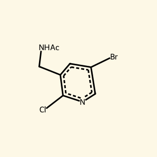 CC(=O)NCc1cc(Br)cnc1Cl